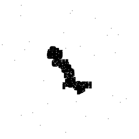 Cc1ncc(C(=O)NCc2cc3nc(-c4cc(F)cc(N5CC(O)C6(CC6)C5)n4)ccc3cn2)cc1S(C)(=O)=O